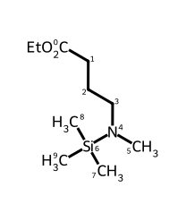 CCOC(=O)CCCN(C)[Si](C)(C)C